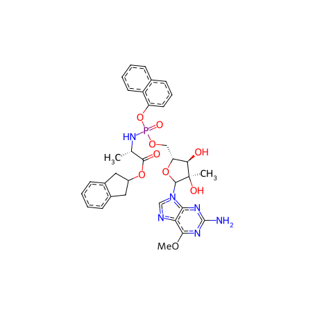 COc1nc(N)nc2c1ncn2C1O[C@H](COP(=O)(N[C@@H](C)C(=O)OC2Cc3ccccc3C2)Oc2cccc3ccccc23)[C@@H](O)[C@@]1(C)O